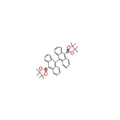 CC1(C)OB(c2c3ccccc3c(-c3c4ccccc4c(B4OC(C)(C)C(C)(C)O4)c4ccccc34)c3ccccc23)OC1(C)C